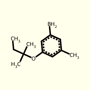 Bc1cc(C)cc(OC(C)(C)CC)c1